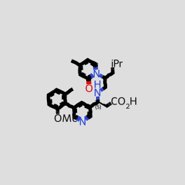 COc1cccc(C)c1-c1cncc([C@H](CC(=O)O)NCC(CC(C)C)n2ccc(C)cc2=O)c1